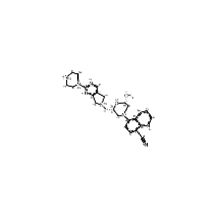 C[C@@H]1CN(c2ccc(C#N)c3ncccc23)C[C@H](CN2Cc3cnc(N4CCNCC4)nc3C2)O1